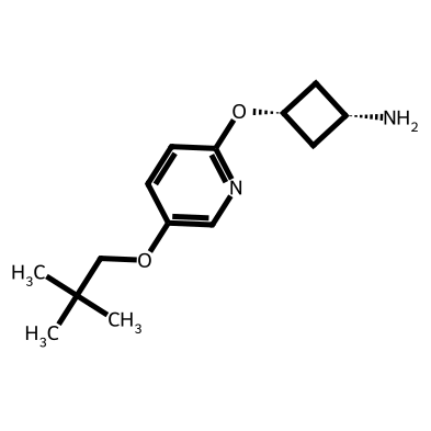 CC(C)(C)COc1ccc(O[C@H]2C[C@@H](N)C2)nc1